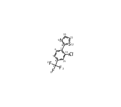 FC(F)(F)c1ccc(-c2nccs2)c(Cl)c1